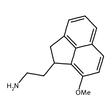 COc1ccc2cccc3c2c1C(CCN)C3